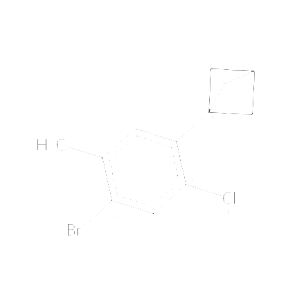 Cc1cc(C23CC(C2)C3)c(Cl)cc1Br